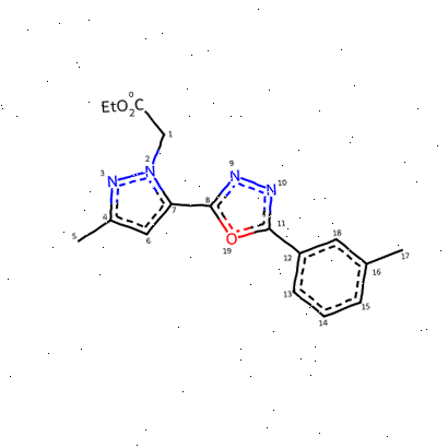 CCOC(=O)Cn1nc(C)cc1-c1nnc(-c2cccc(C)c2)o1